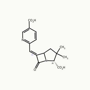 CC1(C)CC2/C(=C\c3ccc(C(=O)O)cn3)C(=O)N2[C@H]1C(=O)O